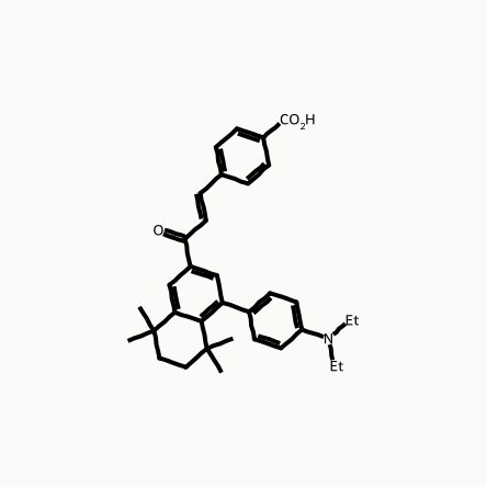 CCN(CC)c1ccc(-c2cc(C(=O)/C=C/c3ccc(C(=O)O)cc3)cc3c2C(C)(C)CCC3(C)C)cc1